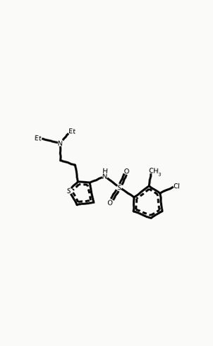 CCN(CC)CCc1sccc1NS(=O)(=O)c1cccc(Cl)c1C